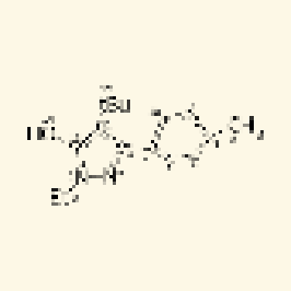 CCn1nc(-c2ccc(C)cc2)c(C(C)(C)C)c1O